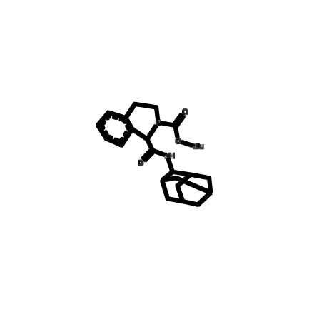 CC(C)(C)OC(=O)N1CCc2ccccc2C1C(=O)NC1C2CC3CC(C2)CC1C3